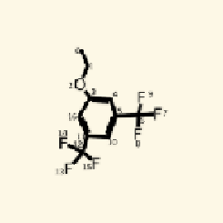 CCOc1cc(C(F)(F)F)cc(C(F)(F)F)c1